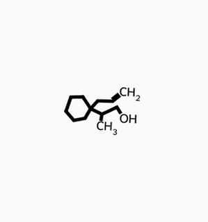 C=CCC1(C(C)CO)CCCCC1